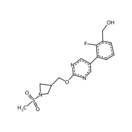 CS(=O)(=O)N1CC(COc2ncc(-c3cccc(CO)c3F)cn2)C1